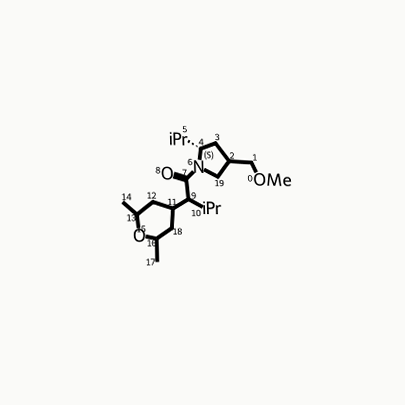 COCC1C[C@@H](C(C)C)N(C(=O)C(C(C)C)C2CC(C)OC(C)C2)C1